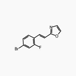 Fc1cc(Br)ccc1C=Cc1ncco1